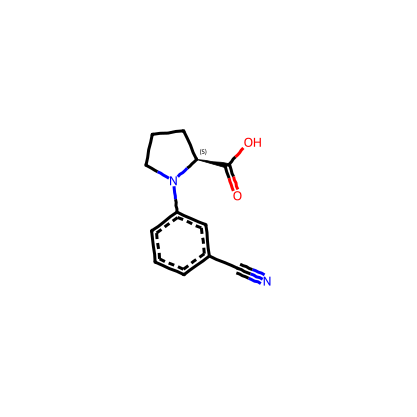 N#Cc1cccc(N2CCC[C@H]2C(=O)O)c1